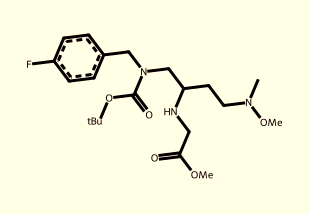 COC(=O)CNC(CCN(C)OC)CN(Cc1ccc(F)cc1)C(=O)OC(C)(C)C